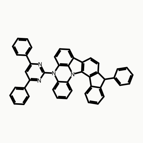 c1ccc(-c2cc(-c3ccccc3)nc(N3c4ccccc4-n4c5c3cccc5c3ccc5c(c34)-c3ccccc3C5c3ccccc3)n2)cc1